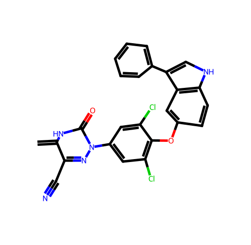 C=C1NC(=O)N(c2cc(Cl)c(Oc3ccc4[nH]cc(-c5ccccc5)c4c3)c(Cl)c2)N=C1C#N